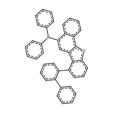 c1ccc(-c2ccccc2-c2cccc3oc4c5ccccc5c(N(c5ccccc5)c5ccccc5)cc4c23)cc1